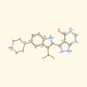 CC(C)c1c(-c2n[nH]c3nc[nH]c(=O)c23)[nH]c2ccc(C3CCNCC3)cc12